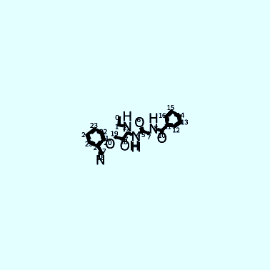 CCNC(NC(=O)CNC(=O)c1ccccc1)C(O)COc1ccccc1C#N